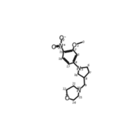 COc1cc(N2CCC(CN3CCOCC3)C2)ccc1[N+](=O)[O-]